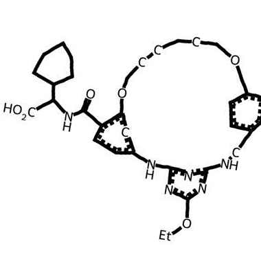 CCOc1nc2nc(n1)Nc1ccc(C(=O)NC(C(=O)O)C3CCCCC3)c(c1)OCCCCCCOc1ccc(cc1)CN2